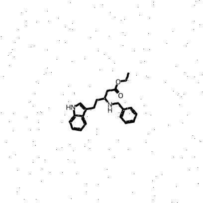 CCOC(=O)CC(CCc1c[nH]c2ccccc12)NCc1ccccc1